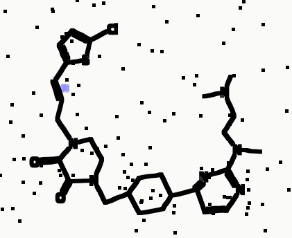 CN(C)CCN(C)c1nccc(C2CCC(CN3CCN(C/C=C/c4ccc(Cl)s4)C(=O)C3=O)CC2)n1